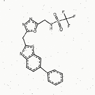 O=S(=O)(NCc1nnc(Cc2nc3ccc(-c4ccccc4)cc3s2)o1)C(F)(F)F